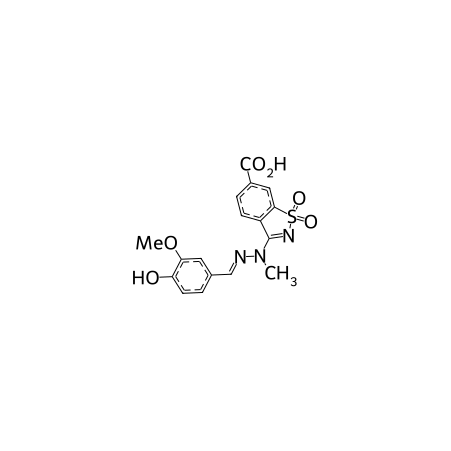 COc1cc(/C=N/N(C)C2=NS(=O)(=O)c3cc(C(=O)O)ccc32)ccc1O